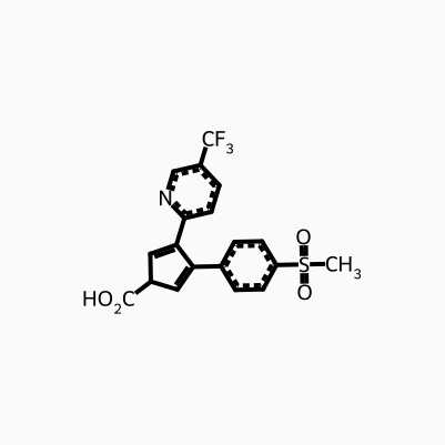 CS(=O)(=O)c1ccc(C2=CC(C(=O)O)C=C2c2ccc(C(F)(F)F)cn2)cc1